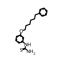 NC(=S)Nc1cccc(OCCCCCCc2ccccc2)c1